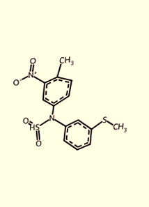 CSc1cccc(N(c2ccc(C)c([N+](=O)[O-])c2)[SH](=O)=O)c1